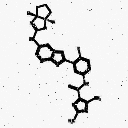 Cc1nc(C)c(C(=O)Nc2ccc(F)c(-c3cn4cc(NC5=N[C@@H]6CCC[C@H]6O5)cnc4n3)c2)o1